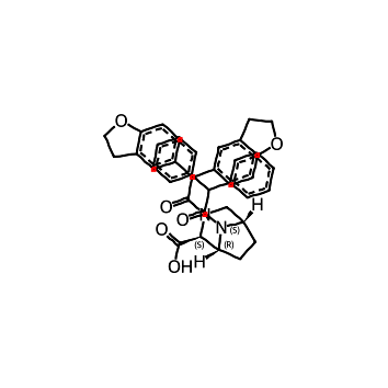 O=C(O)[C@@H]1[C@H]2CC[C@@H](CN1C(=O)C(c1ccc3c(c1)CCO3)c1ccc3c(c1)CCO3)N2C(=O)C(c1ccccc1)c1ccccc1